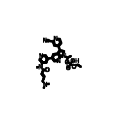 CCOP(=O)(O)OC(C)n1cc(-c2ccnc(C#N)c2)c2cc(-c3cncc(N(C)C(=O)/C=C/CN(C)C)c3)cnc21